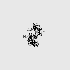 CC(C)C[C@H](NC(=O)CNC(=O)[C@H](C)NC(=O)[C@H](CC(C)C)NC(=O)[C@@H](N)CC(C)C)C(=O)N[C@H](C(=O)NC(=O)c1cc([N+](=O)[O-])cc([N+](=O)[O-])c1)C(C)C